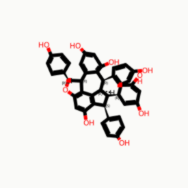 OC1=C[C@@H](C2[C@@H](c3ccc(O)cc3)c3c(O)cc4c5c3[C@H]2[C@H](c2ccc(O)cc2)c2c(O)cc(O)cc2[C@H]5[C@H](c2ccc(O)cc2)O4)CC(O)=C1